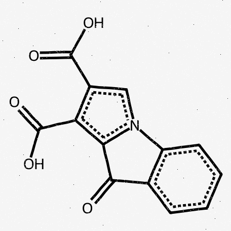 O=C(O)c1cn2c(c1C(=O)O)C(=O)c1ccccc1-2